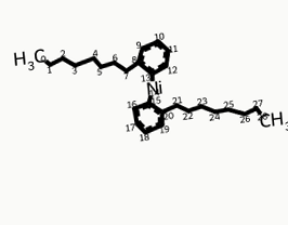 CCCCCCCCc1cccc[c]1[Ni][c]1ccccc1CCCCCCCC